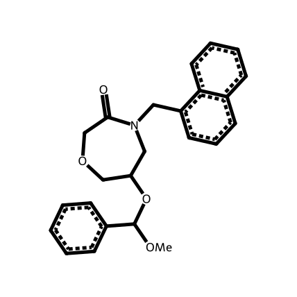 COC(OC1COCC(=O)N(Cc2cccc3ccccc23)C1)c1ccccc1